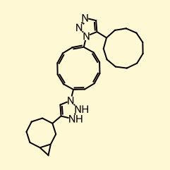 C1=C(C2CCCCC3CC3C2)NNN1C1=C/C=C\C=C/C(n2nncc2C2CCCCCCCCCC2)=C\C=C/C=C\1